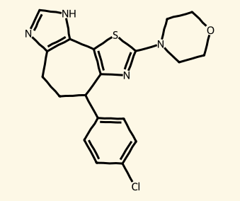 Clc1ccc(C2CCc3nc[nH]c3-c3sc(N4CCOCC4)nc32)cc1